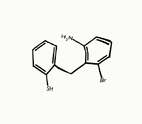 Nc1cccc(Br)c1Cc1ccccc1S